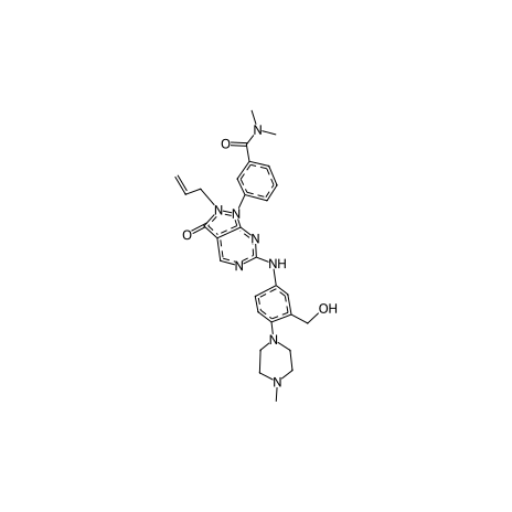 C=CCn1c(=O)c2cnc(Nc3ccc(N4CCN(C)CC4)c(CO)c3)nc2n1-c1cccc(C(=O)N(C)C)c1